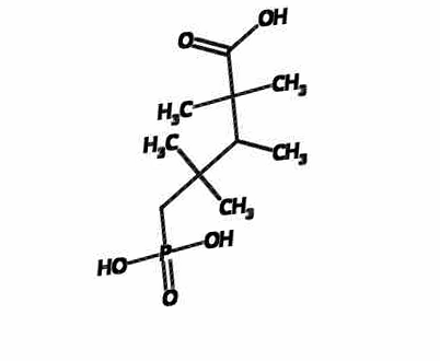 CC(C(C)(C)CP(=O)(O)O)C(C)(C)C(=O)O